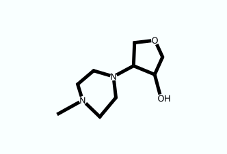 CN1CCN(C2COCC2O)CC1